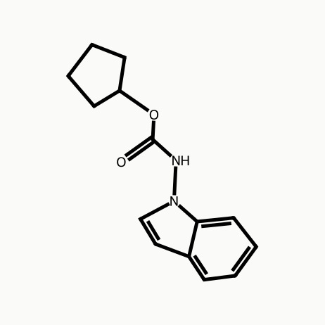 O=C(Nn1ccc2ccccc21)OC1CCCC1